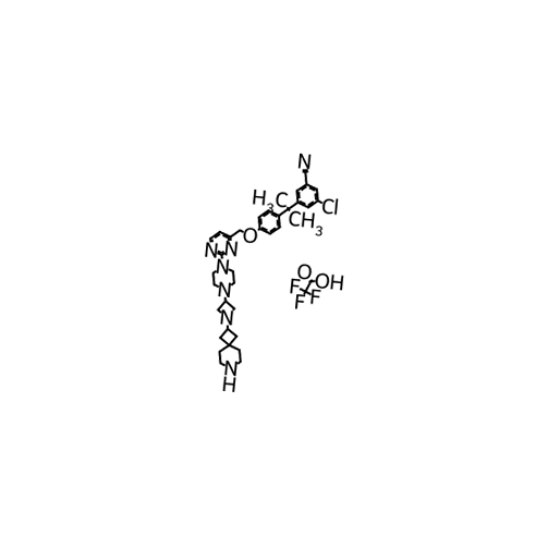 CC(C)(c1ccc(OCc2ccnc(N3CCN(C4CN(C5CC6(CCNCC6)C5)C4)CC3)n2)cc1)c1cc(Cl)cc(C#N)c1.O=C(O)C(F)(F)F